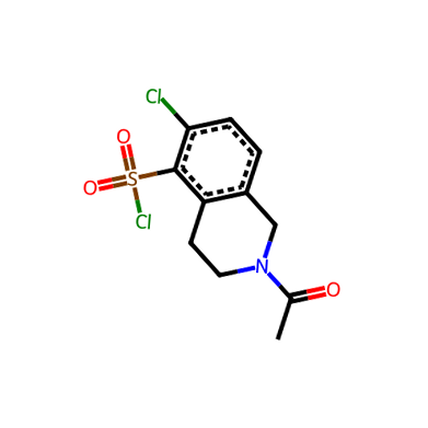 CC(=O)N1CCc2c(ccc(Cl)c2S(=O)(=O)Cl)C1